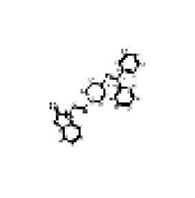 O=C1Cc2ccccc2N1CCN1CCC(SC(c2ccccc2)c2ccccc2)CC1